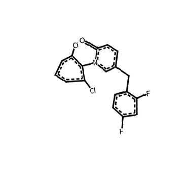 O=c1ccc(Cc2ccc(F)cc2F)cn1-c1c(Cl)cccc1Cl